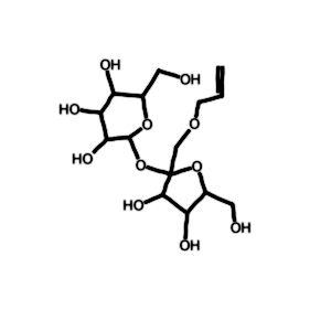 C=CCOCC1(OC2OC(CO)C(O)C(O)C2O)OC(CO)C(O)C1O